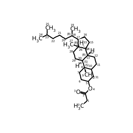 CCC(=O)OC1CC[C@@]2(C)C(CC[C@H]3[C@@H]4CC[C@H]([C@H](C)CCCC(C)C)[C@@]4(C)CC[C@@H]32)C1